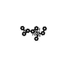 c1ccc(C2=NC(c3cccc(-c4ccccc4)c3)NC(n3c4ccccc4c4cc(-c5ccc6c(c5)c5ccccc5n6-c5ccccc5)ccc43)N2)cc1